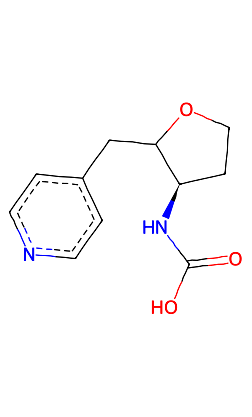 O=C(O)N[C@@H]1CCOC1Cc1ccncc1